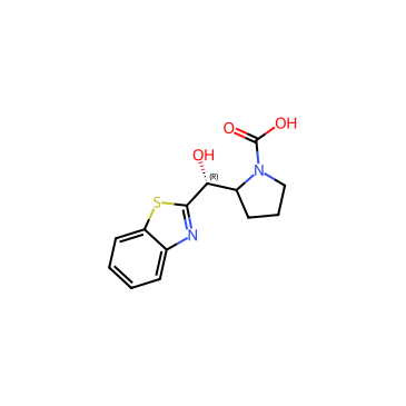 O=C(O)N1CCCC1[C@@H](O)c1nc2ccccc2s1